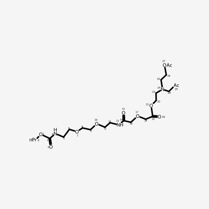 CCCOC(=O)NCCOCCOCCNC(=O)COCC(=O)OCCN(CCOC(C)=O)CC(C)=O